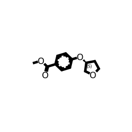 COC(=O)c1ccc(O[C@H]2CCOC2)cc1